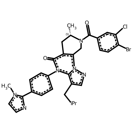 CC(C)Cc1cnn2c3c(c(=O)n(-c4ccc(-c5nccn5C)cc4)c12)C[C@H](C)N(C(=O)c1ccc(Br)c(Cl)c1)C3